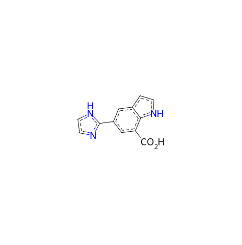 O=C(O)c1cc(-c2ncc[nH]2)cc2cc[nH]c12